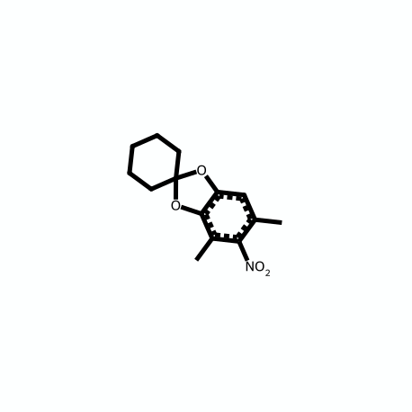 Cc1cc2c(c(C)c1[N+](=O)[O-])OC1(CCCCC1)O2